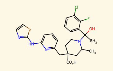 BC(O)(c1cccc(Cl)c1F)N1CCC(Cc2cccc(Nc3nccs3)n2)(C(=O)O)CC1C